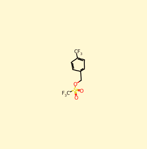 O=S(=O)(OCc1ccc(C(F)(F)F)cc1)C(F)(F)F